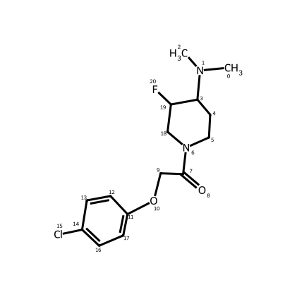 CN(C)C1CCN(C(=O)COc2ccc(Cl)cc2)CC1F